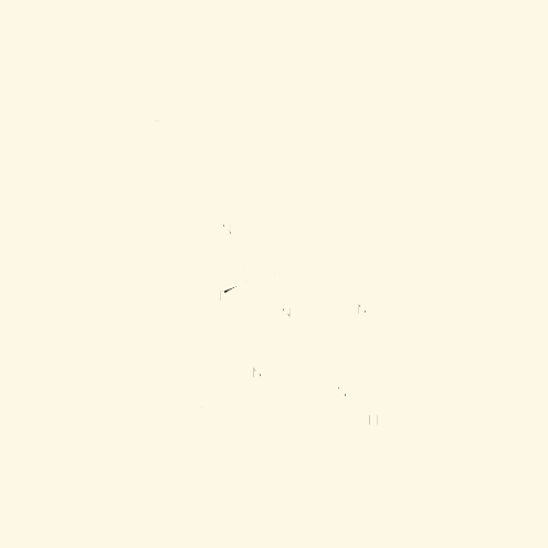 Cn1c(=O)c(C#N)c(N2C[C@@H]3CN(c4ccc(F)cc4)C[C@H]3C2)c2nc(Cl)ccc21